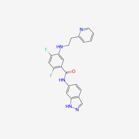 O=C(Nc1ccc2cn[nH]c2c1)c1cc(NCCc2ccccn2)c(F)cc1F